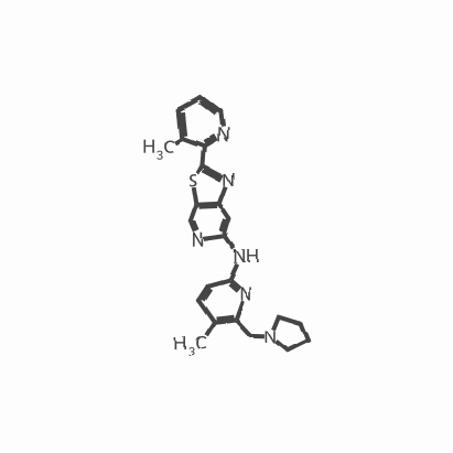 Cc1ccc(Nc2cc3nc(-c4ncccc4C)sc3cn2)nc1CN1CCCC1